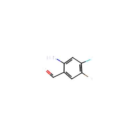 Nc1cc(F)c(Br)cc1C=O